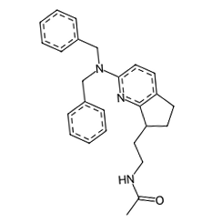 CC(=O)NCCC1CCc2ccc(N(Cc3ccccc3)Cc3ccccc3)nc21